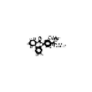 COC(=O)c1ccc(OC(=O)[C@@H]2CCCC[C@@H]2c2ccccc2)cc1OC